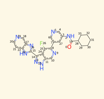 O=C(Nc1cncc(-c2ncc3[nH]nc(-c4nc5cnccc5[nH]4)c3c2F)c1)C1CCCCC1